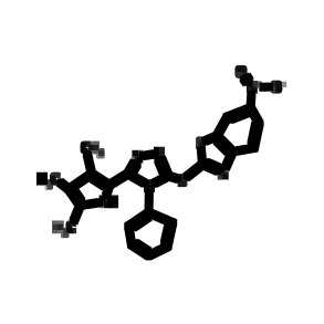 Cc1[nH]c(-c2nnc(Sc3nc4ccc([N+](=O)[O-])cc4s3)n2-c2ccccc2)c(C)c1C